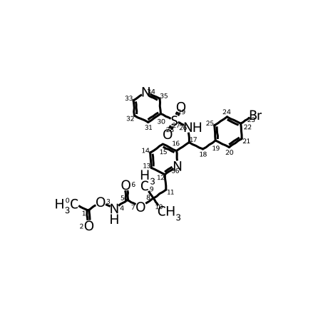 CC(=O)ONC(=O)OC(C)(C)Cc1cccc(C(Cc2ccc(Br)cc2)NS(=O)(=O)c2cccnc2)n1